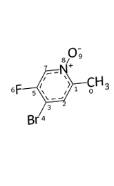 Cc1cc(Br)c(F)c[n+]1[O-]